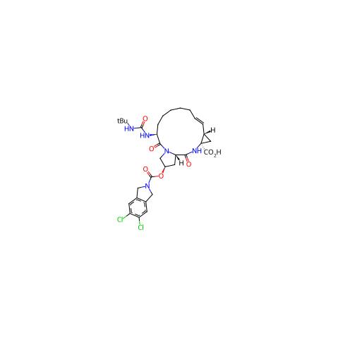 CC(C)(C)NC(=O)N[C@H]1CCCCC/C=C/[C@@H]2C[C@@]2(C(=O)O)NC(=O)[C@@H]2C[C@@H](OC(=O)N3Cc4cc(Cl)c(Cl)cc4C3)CN2C1=O